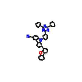 N#Cc1ccc2c(c1)c1ccc(-c3cccc4c3oc3ccccc34)cc1n2-c1cccc(-c2nc(-c3ccccc3)nc(-c3ccccc3)n2)c1